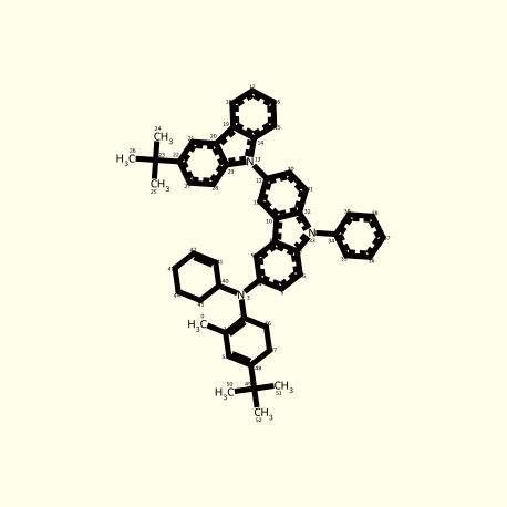 CC1=C(N(c2ccc3c(c2)c2cc(-n4c5ccccc5c5cc(C(C)(C)C)ccc54)ccc2n3-c2ccccc2)C2C=CCCC2)CCC(C(C)(C)C)=C1